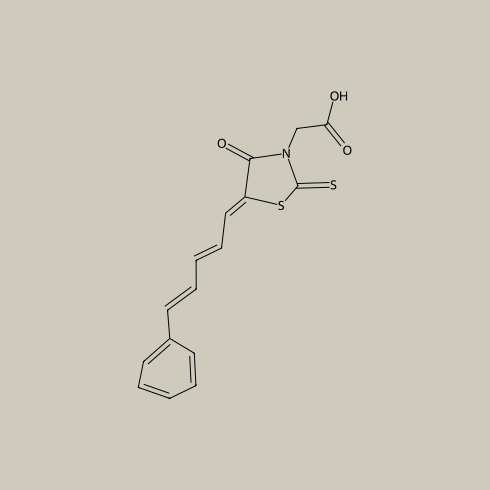 O=C(O)CN1C(=O)C(=CC=CC=Cc2ccccc2)SC1=S